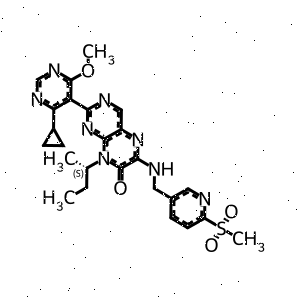 CC[C@H](C)n1c(=O)c(NCc2ccc(S(C)(=O)=O)nc2)nc2cnc(-c3c(OC)ncnc3C3CC3)nc21